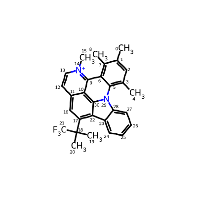 Cc1cc(C)c2c(c1C)c1c3c(cc[n+]1C)cc(C(C)(C)C(F)(F)F)c1c4ccccc4n2c13